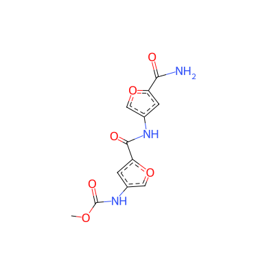 COC(=O)Nc1coc(C(=O)Nc2coc(C(N)=O)c2)c1